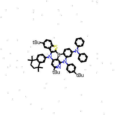 CC(C)(C)c1ccc(N2c3cc(N(c4ccccc4)c4ccccc4)ccc3B3c4sc5ccc(C(C)(C)C)cc5c4N(c4ccc5c(c4)C(C)(C)CCC5(C)C)c4cc(C(C)(C)C)nc2c43)cc1